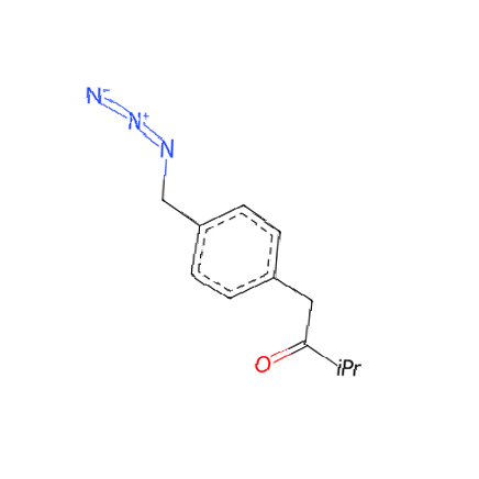 CC(C)C(=O)Cc1ccc(CN=[N+]=[N-])cc1